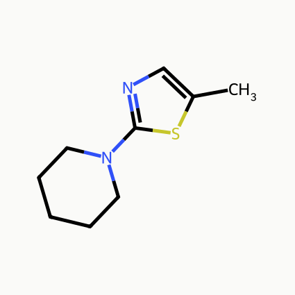 Cc1cnc(N2CCCCC2)s1